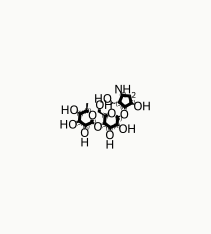 C[C@H]1O[C@@H](O[C@H]2[C@H](O)[C@@H](O)[C@@H](O[C@@H]3[C@H](CO)[C@@H](N)C[C@@H]3O)O[C@@H]2CO)[C@H](O)[C@@H](O)[C@@H]1O